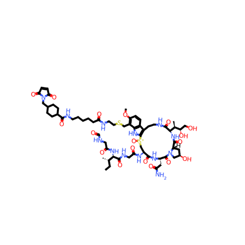 CC[C@H](C)[C@H](NC(=O)CNC=O)C(=O)NCC(=O)N[C@H]1C[S+]([O-])c2[nH]c3c(CSCCNC(=O)CCCCCNC(=O)C4CCC(CN5C(=O)C=CC5=O)CC4)c(OC)ccc3c2CCNC(=O)[C@H]([C@@H](C)[C@@H](O)CO)NC(=O)[C@@H]2C[C@@H](O)CN2C(=O)[C@H](CC(N)=O)NC1=O